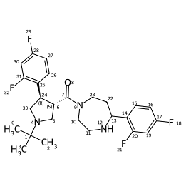 CC(C)(C)N1C[C@@H](C(=O)N2CCNC(c3ccc(F)cc3F)CC2)[C@H](c2ccc(F)cc2F)C1